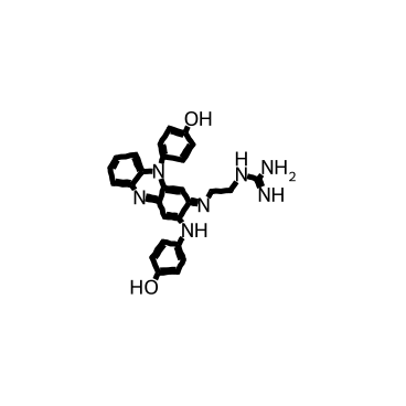 N=C(N)NCCN=c1cc2n(-c3ccc(O)cc3)c3ccccc3nc-2cc1Nc1ccc(O)cc1